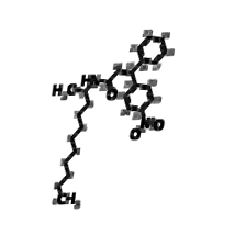 CCCCCCCCCC(C)NC(=O)C=C(c1ccccc1)c1ccc([N+](=O)[O-])cc1